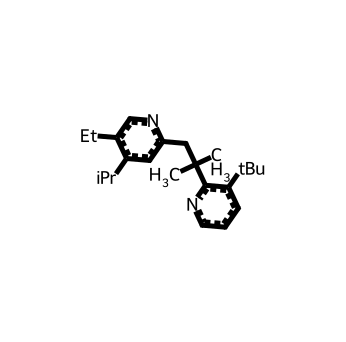 CCc1cnc(CC(C)(C)c2ncccc2C(C)(C)C)cc1C(C)C